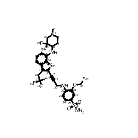 CN1CCC(Nc2cccc3c(CC(F)(F)F)c(C#CCNc4ccc(S(N)(=O)=O)cc4OCF)sc23)C(F)(F)C1